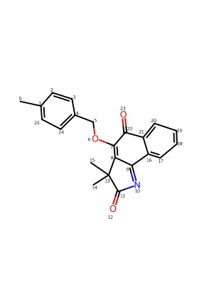 Cc1ccc(COC2=C3C(=NC(=O)C3(C)C)c3ccccc3C2=O)cc1